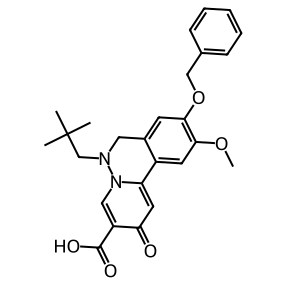 COc1cc2c(cc1OCc1ccccc1)CN(CC(C)(C)C)n1cc(C(=O)O)c(=O)cc1-2